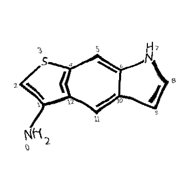 Nc1csc2cc3[nH]ccc3cc12